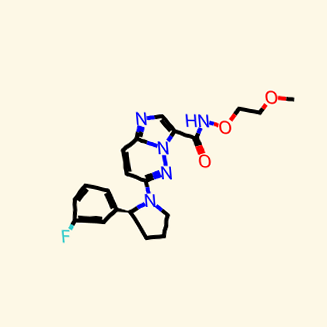 COCCONC(=O)c1cnc2ccc(N3CCC[C@H]3c3cccc(F)c3)nn12